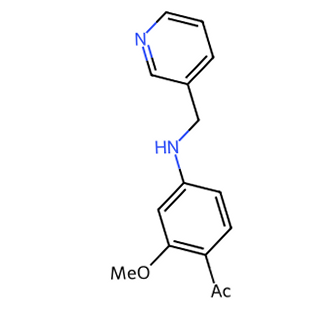 COc1cc(NCc2cccnc2)ccc1C(C)=O